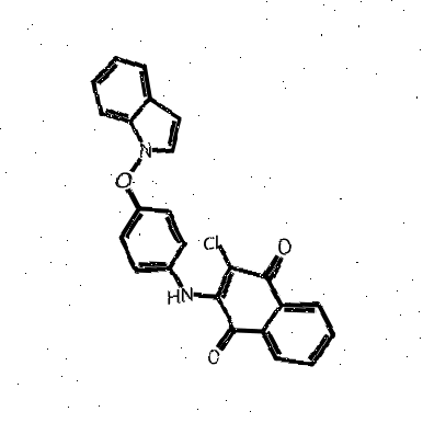 O=C1C(Cl)=C(Nc2ccc(On3ccc4ccccc43)cc2)C(=O)c2ccccc21